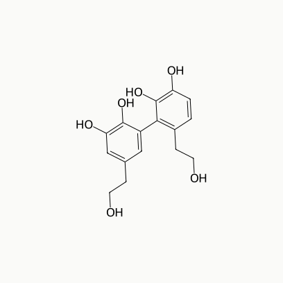 OCCc1cc(O)c(O)c(-c2c(CCO)ccc(O)c2O)c1